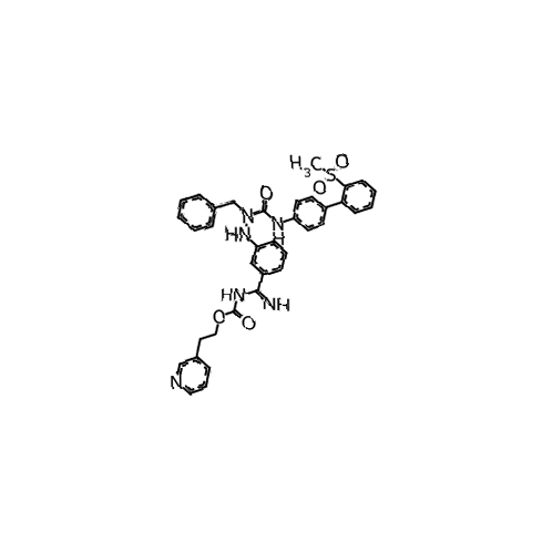 CS(=O)(=O)c1ccccc1-c1ccc(NC(=O)N(Cc2ccccc2)Nc2cccc(C(=N)NC(=O)OCCc3cccnc3)c2)cc1